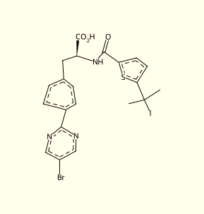 CC(C)(I)c1ccc(C(=O)N[C@@H](Cc2ccc(-c3ncc(Br)cn3)cc2)C(=O)O)s1